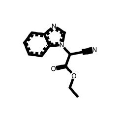 CCOC(=O)C(C#N)n1cnc2ccccc21